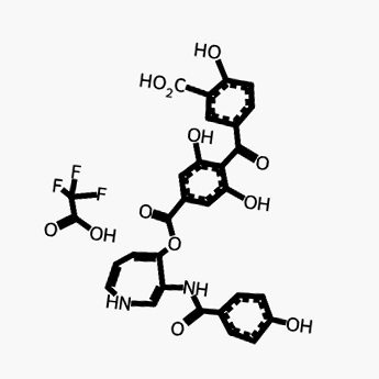 O=C(NC1=CNC=CC=C1OC(=O)c1cc(O)c(C(=O)c2ccc(O)c(C(=O)O)c2)c(O)c1)c1ccc(O)cc1.O=C(O)C(F)(F)F